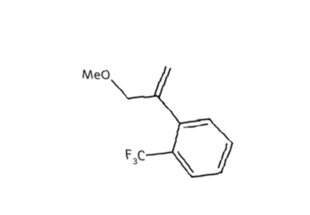 C=C(COC)c1ccccc1C(F)(F)F